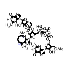 COC[C@H]1[C@@H](O)[C@H](n2cnc3c(=O)[nH]c(N)nc32)O[C@@H]1COP(=O)(O)OP(=O)(O)OP(=O)(O)OCC1O[C@@H](n2cnc3c2/N=C\CC/C=C\3N)[C@H](OC)[C@@H]1OP(=O)(O)CC[C@H]1O[C@@H](n2cnc3c(=O)[nH]c(N)nc32)[C@H](O)[C@@H]1O